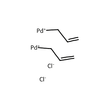 C=C[CH2][Pd+].C=C[CH2][Pd+].[Cl-].[Cl-]